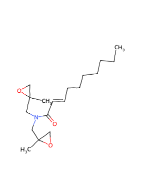 CCCCCCCC=CC(=O)N(CC1(C)CO1)CC1(C)CO1